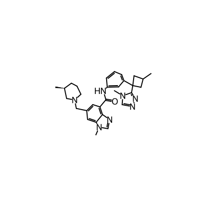 CC1CC(c2cccc(NC(=O)c3cc(CN4CCC[C@H](C)C4)cc4c3ncn4C)c2)(c2nncn2C)C1